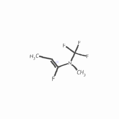 C/C=C(\F)N(C)C(F)(F)F